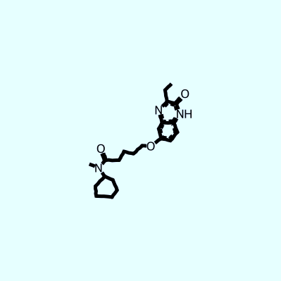 CCc1nc2cc(OCCCCC(=O)N(C)C3CCCCC3)ccc2[nH]c1=O